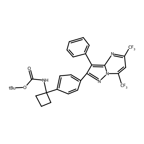 CC(C)(C)OC(=O)NC1(c2ccc(-c3nn4c(C(F)(F)F)cc(C(F)(F)F)nc4c3-c3ccccc3)cc2)CCC1